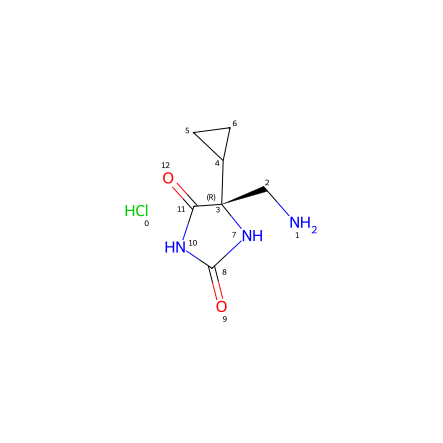 Cl.NC[C@@]1(C2CC2)NC(=O)NC1=O